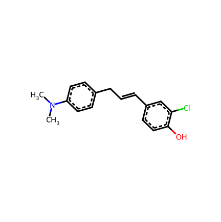 CN(C)c1ccc(CC=Cc2ccc(O)c(Cl)c2)cc1